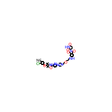 CC1(C)[C@H](NC(=O)c2ccc(N3CCN(CCOCCCNc4ccc5c(c4)C(=O)N(C4CCC(=O)NC4=O)C5=O)CC3)nc2)C(C)(C)[C@H]1Oc1ccc(C#N)c(Cl)c1